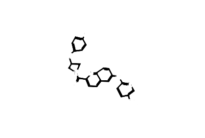 O=C(c1ccc2cc(Oc3ccc(C(F)(F)F)cn3)ccc2n1)N1CC(Oc2ccc(Cl)cc2)C1